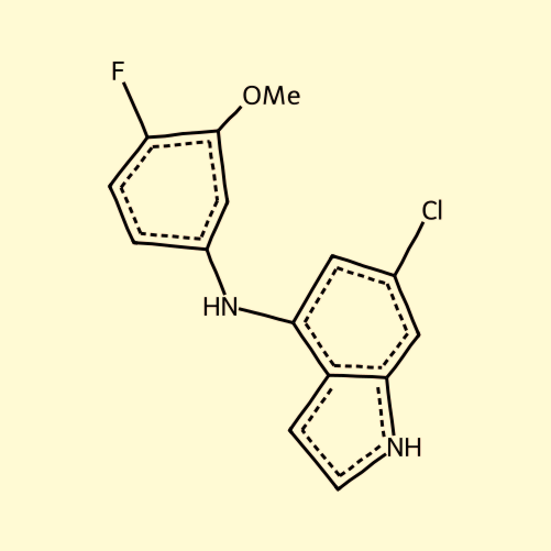 COc1cc(Nc2cc(Cl)cc3[nH]ccc23)ccc1F